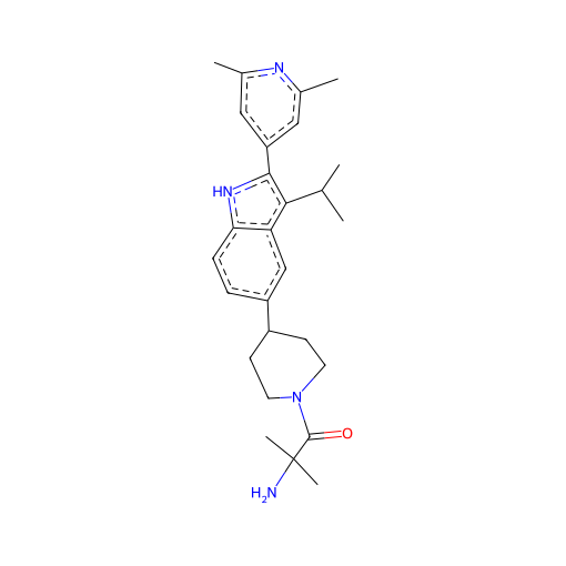 Cc1cc(-c2[nH]c3ccc(C4CCN(C(=O)C(C)(C)N)CC4)cc3c2C(C)C)cc(C)n1